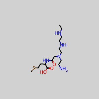 CCNCCNCCN(CCN)CC(=O)NC(CCSC)C(=O)O